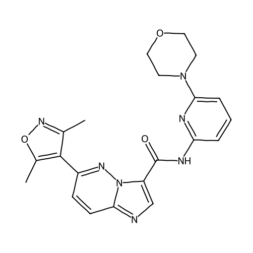 Cc1noc(C)c1-c1ccc2ncc(C(=O)Nc3cccc(N4CCOCC4)n3)n2n1